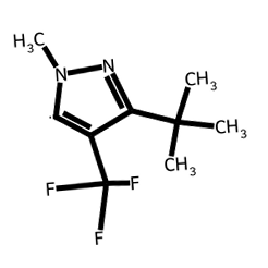 Cn1[c]c(C(F)(F)F)c(C(C)(C)C)n1